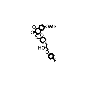 COc1ccc2c(c1)C1=C(SCC3(CCN(C[C@H](O)COc4ccc(F)cc4)CC3)O1)C(=O)C2=O